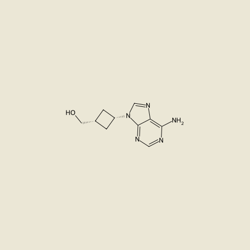 Nc1ncnc2c1ncn2[C@H]1C[C@@H](CO)C1